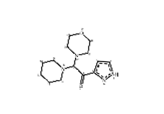 O=C(c1cc[nH]n1)C(N1CCCCC1)N1CCOCC1